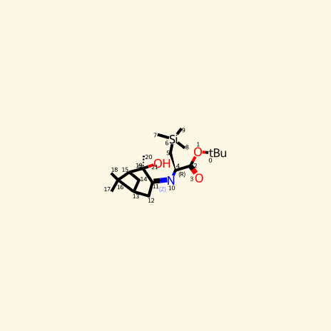 CC(C)(C)OC(=O)[C@H](C[Si](C)(C)C)/N=C1/CC2CC(C2(C)C)[C@@]1(C)O